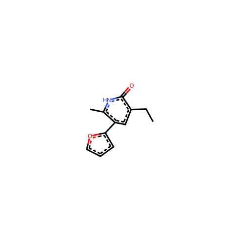 CCc1cc(-c2ccco2)c(C)[nH]c1=O